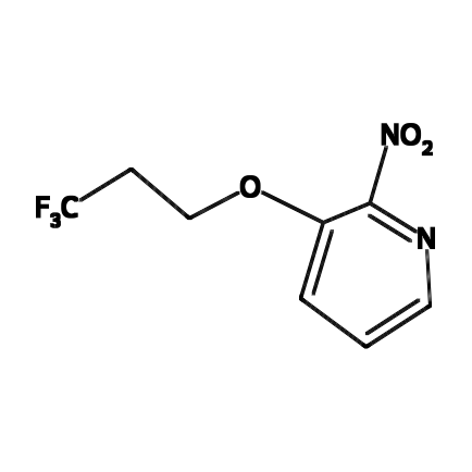 O=[N+]([O-])c1ncccc1OCCC(F)(F)F